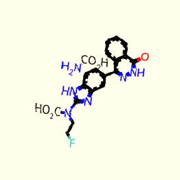 NC(=O)O.O=C(O)N(CCF)c1nc2cc(-c3n[nH]c(=O)c4ccccc34)ccc2[nH]1